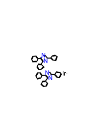 [Ir].c1ccc(-c2cnc(-c3ccccc3)c(-c3ccccc3)n2)cc1.c1ccc(-c2cnc(-c3ccccc3)c(-c3ccccc3)n2)cc1